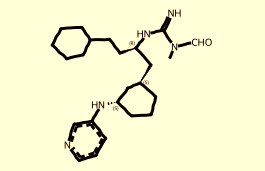 CN(C=O)C(=N)N[C@H](CCC1CCCCC1)C[C@H]1CCC[C@H](Nc2cccnc2)C1